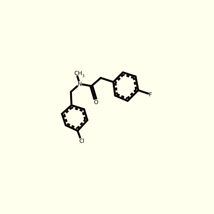 CN(Cc1ccc(Cl)cc1)C(=O)Cc1ccc(F)cc1